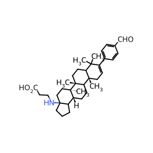 CC1(C)C(c2ccc(C=O)cc2)=CC[C@@]2(C)C1CC[C@]1(C)C2CC[C@@H]2C3CCC[C@]3(NCCC(=O)O)CC[C@]21C